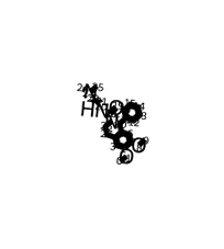 COc1cc2c(cc1OC)C(c1ccccc1)N(C(=O)NCCN(C)C)CC2